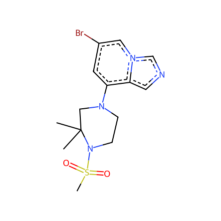 CC1(C)CN(c2cc(Br)cn3cncc23)CCN1S(C)(=O)=O